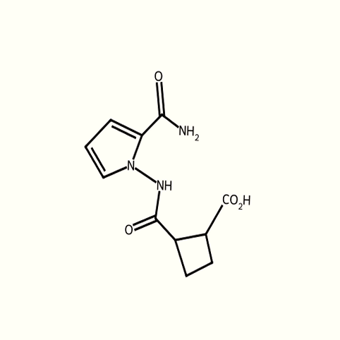 NC(=O)c1cccn1NC(=O)C1CCC1C(=O)O